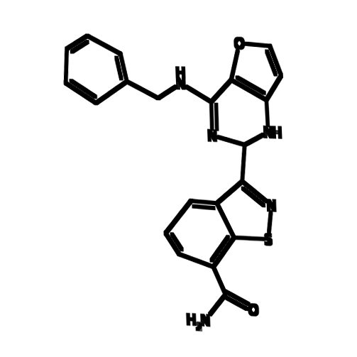 NC(=O)c1cccc2c(C3N=C(NCc4ccccc4)c4occc4N3)nsc12